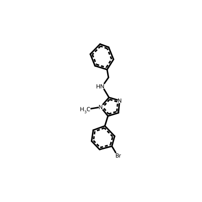 Cn1c(-c2cccc(Br)c2)cnc1NCc1ccccc1